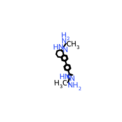 C[C@H](N)c1ncc(-c2ccc(-c3ccc4c(c3)CCCc3[nH]c([C@H](C)N)nc3-4)cc2)[nH]1